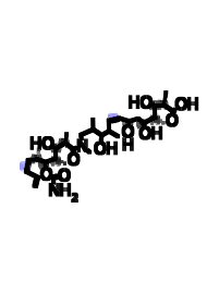 C=C/C=C\[C@H](C)[C@H](OC(N)=O)[C@@H](C)[C@H](O)[C@@H](C)C(=O)N(C)CC(C)C(O)C(C)/C=C\[C@@H](O)C[C@H](O)[C@@H](C)[C@H](O)[C@@H](C)C(=O)O